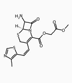 COC(=O)COC(=O)C1=C(/C=C\c2scnc2C)CS[C@H]2C(N)C(=O)N12